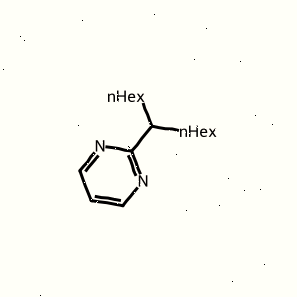 CCCCCCC(CCCCCC)c1ncccn1